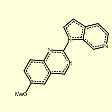 COc1ccc2nc(-n3ccc4ccncc43)ncc2c1